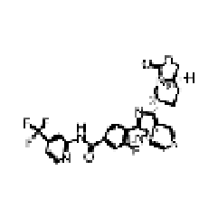 N[N+]12C=CN=CC1=C([C@H]1CC[C@@H]3COC(=O)N3C1)N=C2c1ccc(C(=O)Nc2cc(C(F)(F)F)ccn2)cc1F